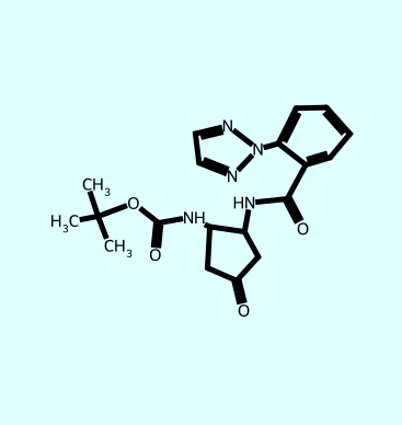 CC(C)(C)OC(=O)NC1CC(=O)CC1NC(=O)c1ccccc1-n1nccn1